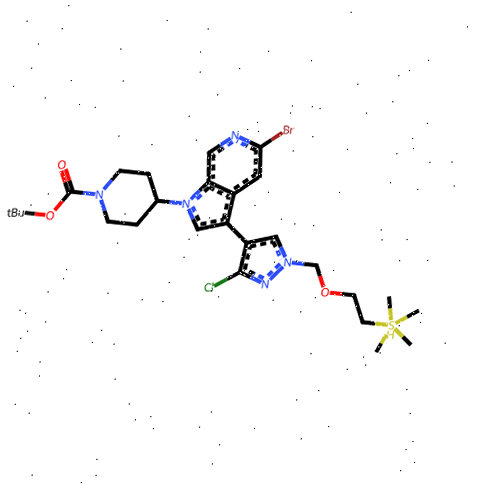 CC(C)(C)OC(=O)N1CCC(n2cc(-c3cn(COCC[SH](C)(C)(C)C)nc3Cl)c3cc(Br)ncc32)CC1